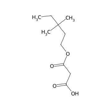 CCC(C)(C)CCOC(=O)CC(=O)O